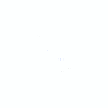 O=C(C=CNc1cccc2ccccc12)Nc1cccc2ccccc12